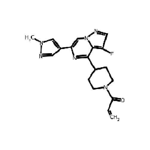 C=CC(=O)N1CCC(c2nc(-c3cnn(C)c3)cn3ncc(F)c23)CC1